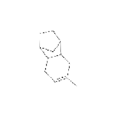 CC1=CCC2C3CCC(C3)C2C1